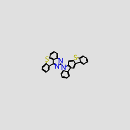 c1ccc2c(c1)Sc1cccc3nc(-n4c5ccccc5c5cc6c(cc54)sc4ccccc46)nc-2c13